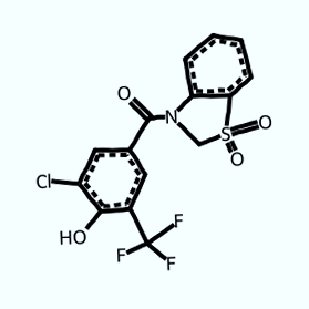 O=C(c1cc(Cl)c(O)c(C(F)(F)F)c1)N1CS(=O)(=O)c2ccccc21